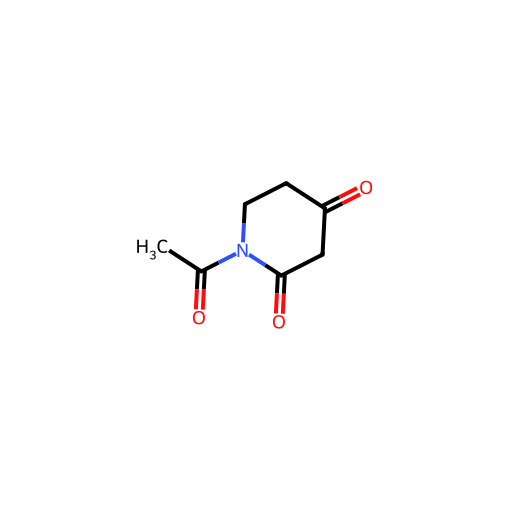 CC(=O)N1CCC(=O)CC1=O